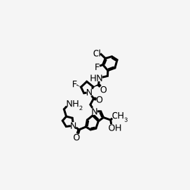 CC(O)c1cn(CC(=O)N2C[C@H](F)C[C@H]2C(=O)NCc2cccc(Cl)c2F)c2cc(C(=O)N3CCC(CN)C3)ccc12